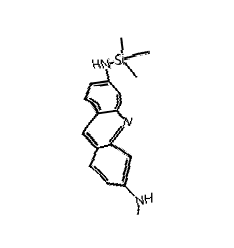 CNc1ccc2cc3ccc(N[Si](C)(C)C)cc3nc2c1